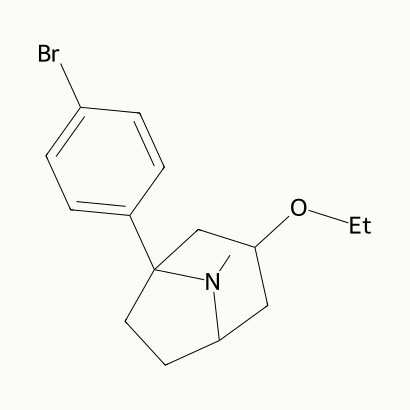 CCOC1CC2CCC(c3ccc(Br)cc3)(C1)N2C